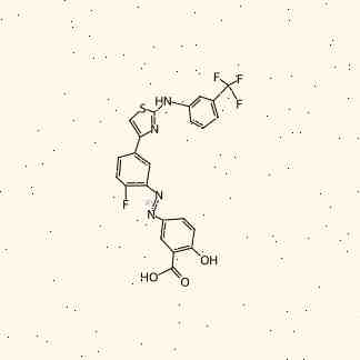 O=C(O)c1cc(/N=N/c2cc(-c3csc(Nc4cccc(C(F)(F)F)c4)n3)ccc2F)ccc1O